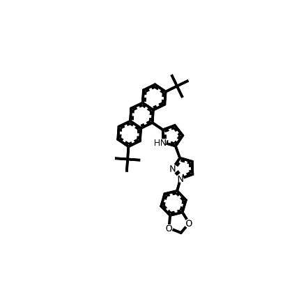 CC(C)(C)c1ccc2cc3ccc(C(C)(C)C)cc3c(-c3ccc(-c4ccn(-c5ccc6c(c5)OCO6)n4)[nH]3)c2c1